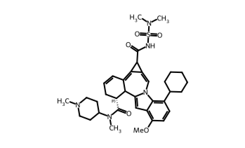 COc1ccc(C2CCCCC2)c2c1cc1n2C=C2C(=C3C=CC[C@@H](C(=O)N(C)C4CCN(C)CC4)C31)C2C(=O)NS(=O)(=O)N(C)C